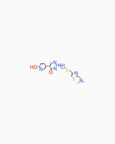 CN(C)Cc1nc(CSCCNc2ncc(-c3ccc(O)nc3)c(=O)n2C)cs1